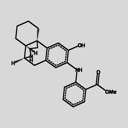 COC(=O)c1ccccc1Nc1cc2c(cc1O)[C@]13CCCC[C@@H]1[C@H](C2)NCC3